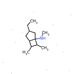 CCC1CC2C(C)C(C)C2(NC)C1